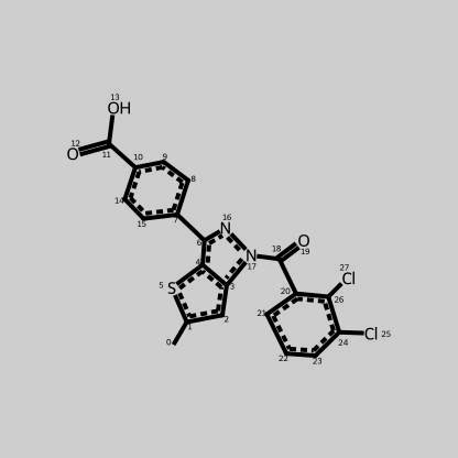 Cc1cc2c(s1)c(-c1ccc(C(=O)O)cc1)nn2C(=O)c1cccc(Cl)c1Cl